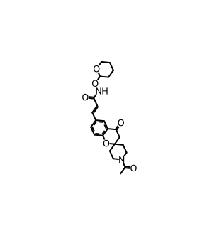 CC(=O)N1CCC2(CC1)CC(=O)c1cc(C=CC(=O)NOC3CCCCO3)ccc1O2